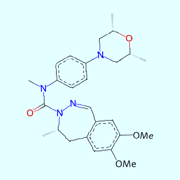 COc1cc2c(cc1OC)C[C@H](C)N(C(=O)N(C)c1ccc(N3C[C@@H](C)O[C@@H](C)C3)cc1)N=C2